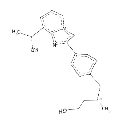 CC(O)c1cccn2cc(-c3ccc(C[C@H](C)CCO)cc3)nc12